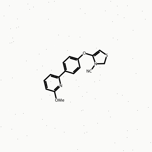 COc1cccc(-c2ccc(OC3=CSCN3C#N)cc2)n1